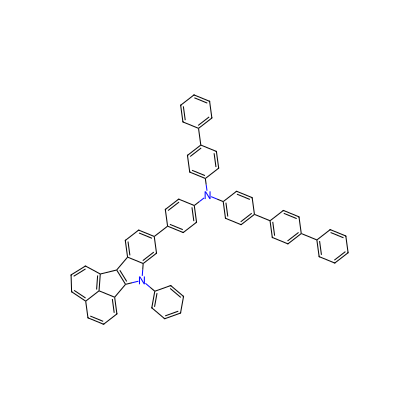 c1ccc(-c2ccc(-c3ccc(N(c4ccc(-c5ccccc5)cc4)c4ccc(-c5ccc6c7c(n(-c8ccccc8)c6c5)-c5cccc6cccc-7c56)cc4)cc3)cc2)cc1